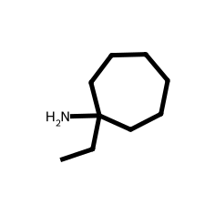 CCC1(N)CCCCCC1